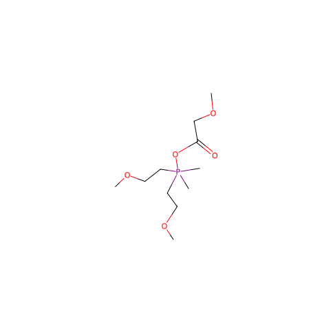 COCCP(C)(C)(CCOC)OC(=O)COC